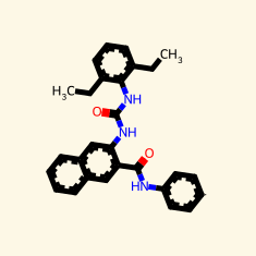 CCc1cccc(CC)c1NC(=O)Nc1cc2ccccc2cc1C(=O)Nc1cc[c]cc1